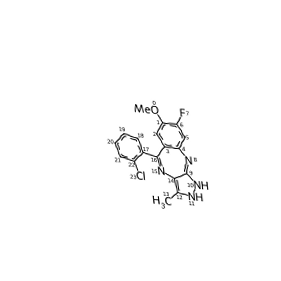 COc1cc2c(cc1F)N=C1NNC(C)=C1N=C2c1ccccc1Cl